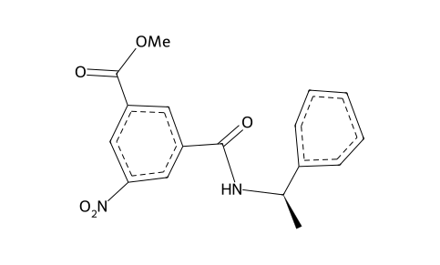 COC(=O)c1cc(C(=O)N[C@H](C)c2ccccc2)cc([N+](=O)[O-])c1